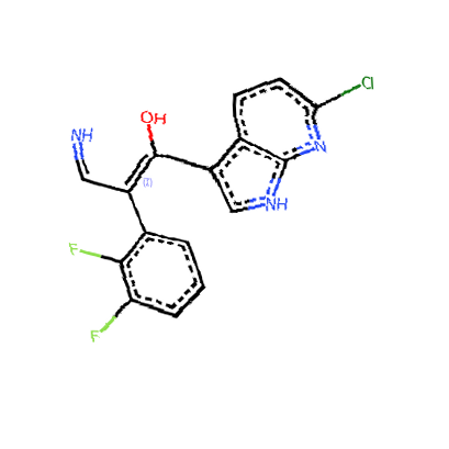 N=C/C(=C(\O)c1c[nH]c2nc(Cl)ccc12)c1cccc(F)c1F